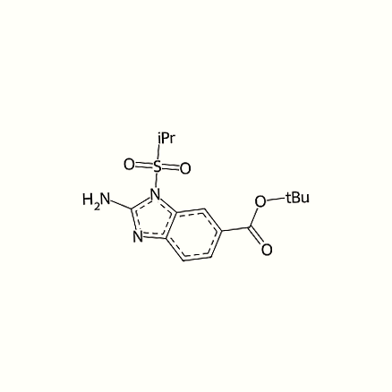 CC(C)S(=O)(=O)n1c(N)nc2ccc(C(=O)OC(C)(C)C)cc21